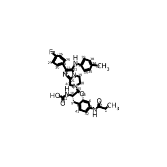 CCC(=O)Nc1ccc(C[C@H](NC(=O)O)C(=O)N2CCn3c(nc(-c4ccc(F)cc4)c3Nc3ccc(C)cc3)C2)cc1